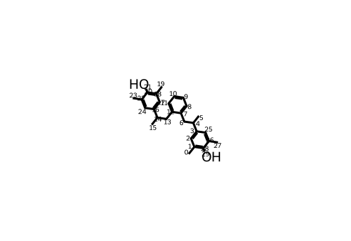 Cc1cc(C(C)Cc2ccccc2CC(C)c2cc(C)c(O)c(C)c2)cc(C)c1O